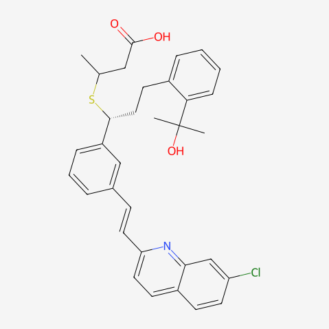 CC(CC(=O)O)S[C@H](CCc1ccccc1C(C)(C)O)c1cccc(C=Cc2ccc3ccc(Cl)cc3n2)c1